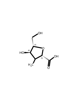 CC1[C@@H](C(=O)O)O[C@@H](CO)[C@@H]1O